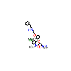 CCCNC(=O)C[C@@H]1O[C@@H](c2cccc(OCCCNCCCc3ccccc3)c2OC)c2cc(Cl)ccc2N(CC(C)(C)C)C1=O